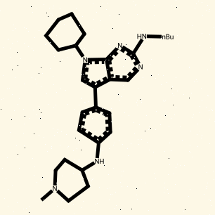 CCCCNc1ncc2c(-c3ccc(NC4CCN(C)CC4)cc3)cn(C3CCCCC3)c2n1